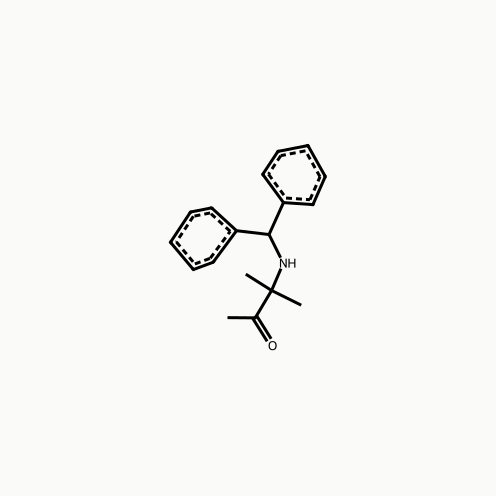 CC(=O)C(C)(C)NC(c1ccccc1)c1ccccc1